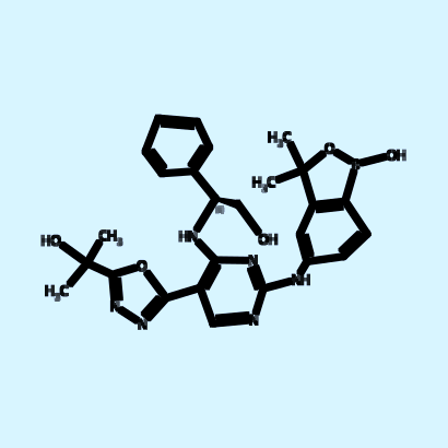 CC(C)(O)c1nnc(-c2cnc(Nc3ccc4c(c3)C(C)(C)OB4O)nc2N[C@H](CO)c2ccccc2)o1